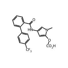 Cn1cc(NC(=O)c2ccccc2-c2ccc(C(F)(F)F)cc2)cc1OC(=O)O